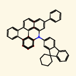 c1ccc(-c2cccc(N(c3ccc4c(c3)C3(CCCCC3)c3ccccc3-4)c3ccccc3-c3ccccc3-c3ccccc3-c3ccccc3)c2)cc1